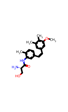 COc1cc(/C=C\c2ccc(C)c(NC(=O)[C@@H](N)CO)c2)cc(C)c1C